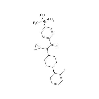 C[C@](O)(c1ccc(C(=O)N(C2CC2)[C@H]2CC[C@H](C3CC=CC=C3F)CC2)cc1)C(F)(F)F